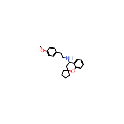 COc1ccc(CCNC2CC3(CCCC3)Oc3ccccc32)cc1